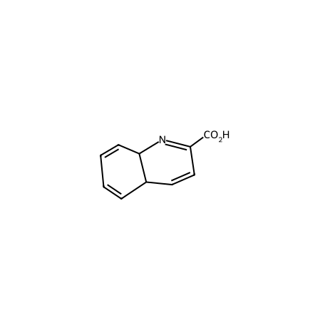 O=C(O)C1=NC2C=CC=CC2C=C1